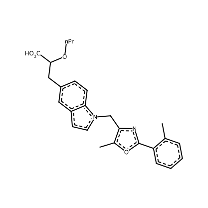 CCCOC(Cc1ccc2c(ccn2Cc2nc(-c3ccccc3C)oc2C)c1)C(=O)O